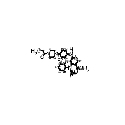 CCC(=O)N1CCN(c2ccc(Nc3cc(N(c4cccc(F)c4F)C4CC4)c(C(N)=O)cn3)cc2)CC1